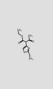 CCOC(=O)C(C(C)=O)c1csc(CC)n1